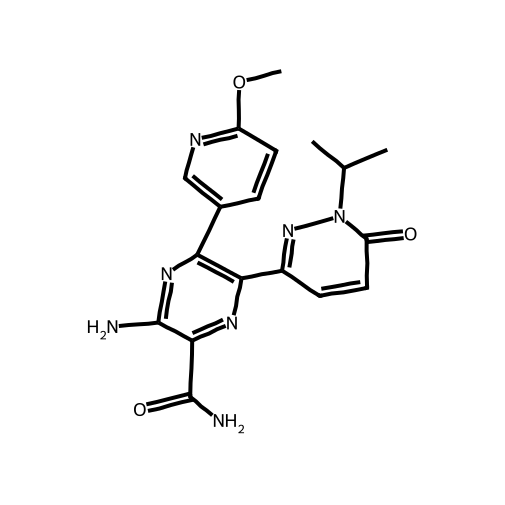 COc1ccc(-c2nc(N)c(C(N)=O)nc2-c2ccc(=O)n(C(C)C)n2)cn1